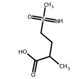 CC(CCS(C)(=N)=O)C(=O)O